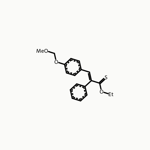 CCOC(=S)C(=Cc1ccc(OCOC)cc1)c1ccccc1